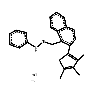 CC1=C(C)C(C)=C(c2ccc3ccccc3c2[CH2][Ti][NH]c2ccccc2)C1.Cl.Cl